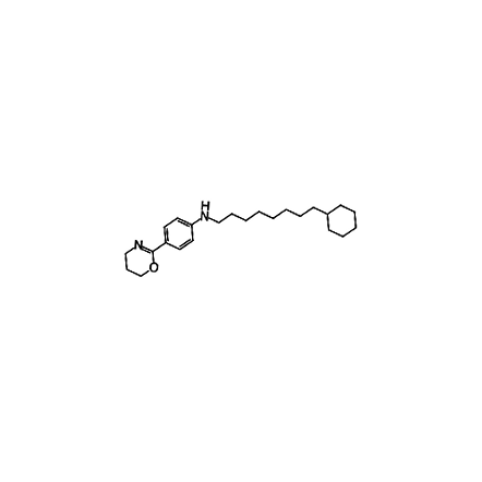 c1cc(C2=NCCCO2)ccc1NCCCCCCCCC1CCCCC1